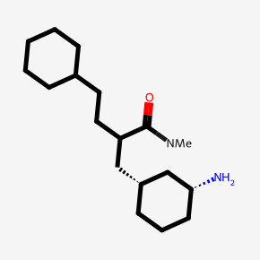 CNC(=O)C(CCC1CCCCC1)C[C@H]1CCC[C@@H](N)C1